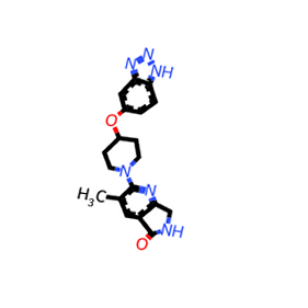 Cc1cc2c(nc1N1CCC(Oc3ccc4[nH]nnc4c3)CC1)CNC2=O